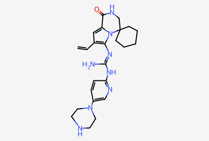 C=Cc1cc2n(c1/N=C(\N)Nc1ccc(N3CCNCC3)cn1)C1(CCCCC1)CNC2=O